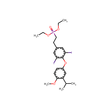 CCOP(=O)(CCc1cc(I)c(Oc2ccc(OC)c(C(C)C)c2)c(I)c1)OCC